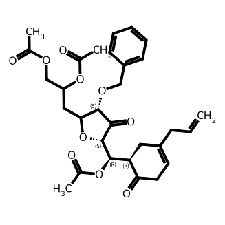 C=CCC1=CCC(=O)[C@@H]([C@@H](OC(C)=O)[C@@H]2OC(CC(COC(C)=O)OC(C)=O)[C@H](OCc3ccccc3)C2=O)C1